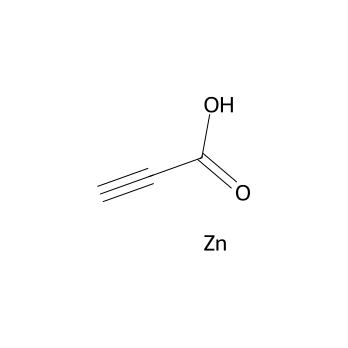 C#CC(=O)O.[Zn]